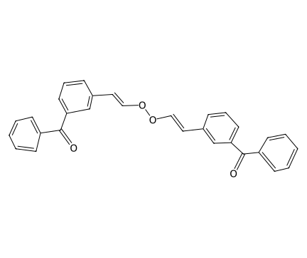 O=C(c1ccccc1)c1cccc(C=COOC=Cc2cccc(C(=O)c3ccccc3)c2)c1